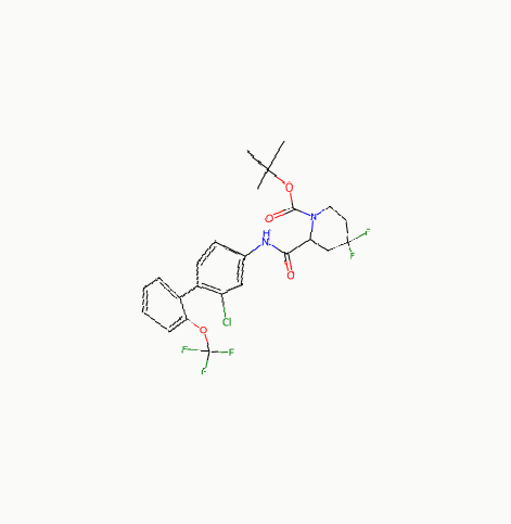 CC(C)(C)OC(=O)N1CCC(F)(F)CC1C(=O)Nc1ccc(-c2ccccc2OC(F)(F)F)c(Cl)c1